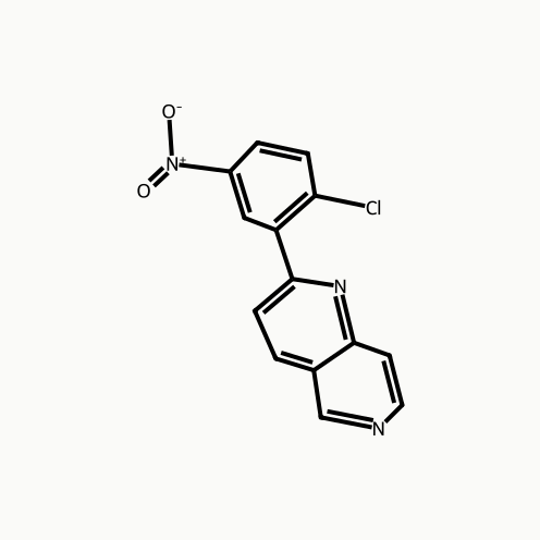 O=[N+]([O-])c1ccc(Cl)c(-c2ccc3cnccc3n2)c1